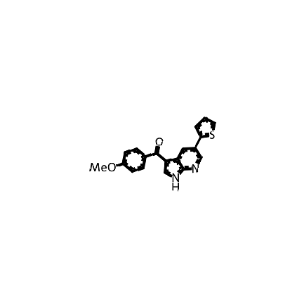 COc1ccc(C(=O)c2c[nH]c3ncc(-c4cccs4)cc23)cc1